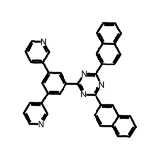 c1cncc(-c2cc(-c3cccnc3)cc(-c3nc(-c4ccc5ccccc5c4)nc(-c4ccc5ccccc5c4)n3)c2)c1